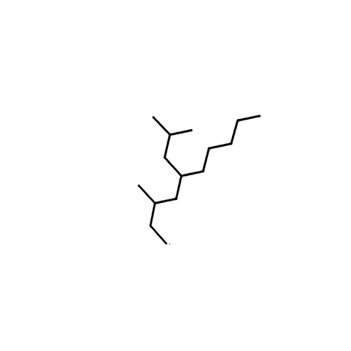 [CH2]CC(C)CC(CCCCC)CC(C)C